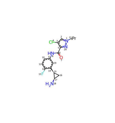 CC(C)n1cc(Cl)c(C(=O)Nc2ccc(F)c([C@H]3C[C@H]3N)c2)n1